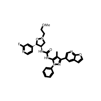 COCCN1C[C@@H](NC(=O)Nc2c(C)c(-c3cnc4occc4c3)nn2-c2ccccc2)[C@H](c2ccnc(F)c2)O1